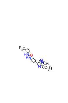 Cn1ncc2c(-c3ccc(NC(=O)Nc4cccc(C(F)(F)F)c4)cc3)cnc(C(=O)O)c21